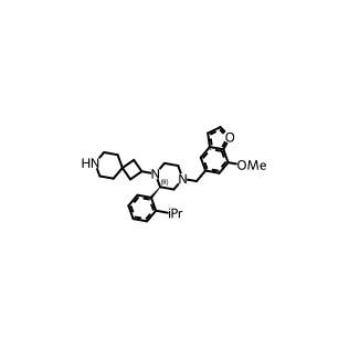 COc1cc(CN2CCN(C3CC4(CCNCC4)C3)[C@H](c3ccccc3C(C)C)C2)cc2ccoc12